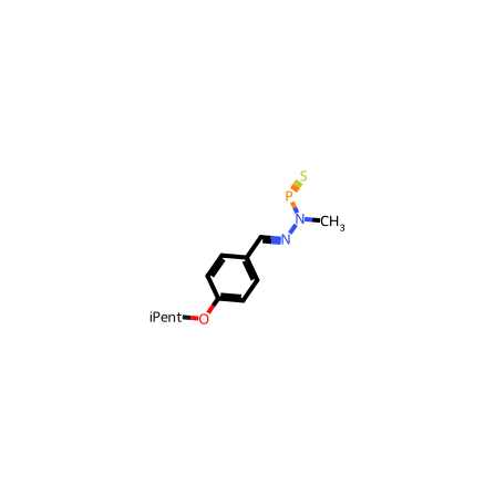 CCCC(C)Oc1ccc(C=NN(C)P=S)cc1